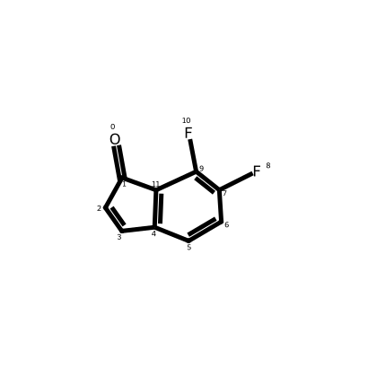 O=C1C=Cc2ccc(F)c(F)c21